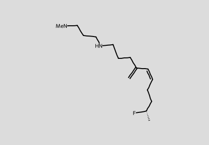 C=C(/C=C\CC[C@H](C)F)CCCNCCCNC